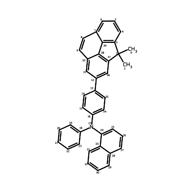 CC1(C)c2cccc3ccc4cc(-c5ccc(N(c6ccccc6)c6cccc7ccccc67)cc5)cc1c4c23